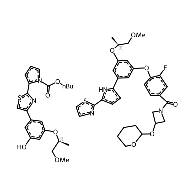 CCCCOC(=O)n1cccc1-c1nc(-c2cc(O)cc(O[C@@H](C)COC)c2)cs1.COC[C@H](C)Oc1cc(Oc2ccc(C(=O)N3CC(OC4CCCCO4)C3)cc2F)cc(-c2ccc(-c3nccs3)[nH]2)c1